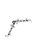 C=CC(=O)OCCOCCOC(=O)NCC1CCCC(CNC(=O)OCCOCCOC(=O)C=C)C1